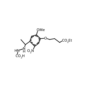 CCOC(=O)CCCOc1cc([N+](=O)[O-])c(C(C)NNC(=O)O)cc1OC